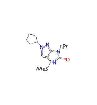 CCCn1c(=O)nc(SC)c2cn(C3CCCC3)nc21